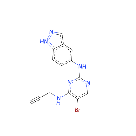 C#CCNc1nc(Nc2ccc3[nH]ncc3c2)ncc1Br